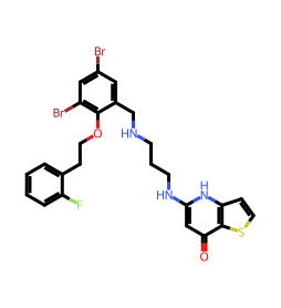 O=c1cc(NCCCNCc2cc(Br)cc(Br)c2OCCc2ccccc2F)[nH]c2ccsc12